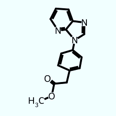 COC(=O)Cc1ccc(-n2cnc3cccnc32)cc1